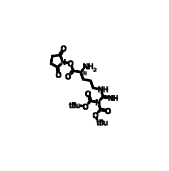 CC(C)(C)OC(=O)N(C(=N)NCCC[C@H](N)C(=O)ON1C(=O)CCC1=O)C(=O)OC(C)(C)C